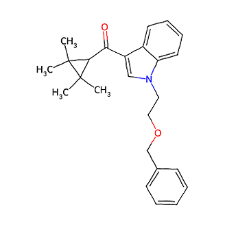 CC1(C)C(C(=O)c2cn(CCOCc3ccccc3)c3ccccc23)C1(C)C